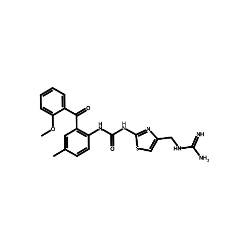 COc1ccccc1C(=O)c1cc(C)ccc1NC(=O)Nc1nc(CNC(=N)N)cs1